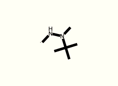 [CH2]NN(C)C(C)(C)C